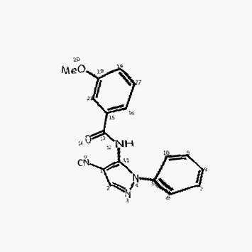 [C-]#[N+]c1cnn(-c2ccccc2)c1NC(=O)c1cccc(OC)c1